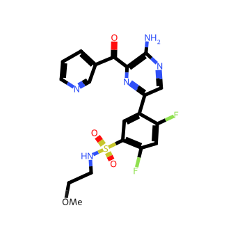 COCCNS(=O)(=O)c1cc(-c2cnc(N)c(C(=O)c3cccnc3)n2)c(F)cc1F